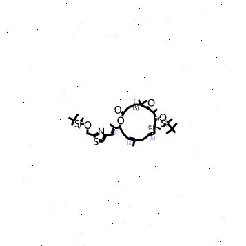 C/C1=C/CC(/C(C)=C/c2csc(CO[Si](C)(C)C(C)(C)C)n2)OC(=O)C[C@H](C)C(C)(C)C(=O)C(C)[C@@H](O[Si](C)(C)C(C)(C)C)[C@@H](C)/C=C/C1